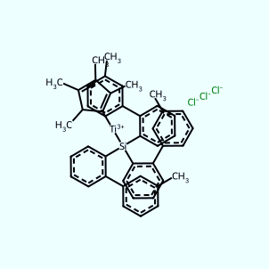 CC1=C(C)C(C)[C]([Ti+3][Si](c2ccccc2-c2cccc(C)c2)(c2ccccc2-c2cccc(C)c2)c2ccccc2-c2cccc(C)c2)=C1C.[Cl-].[Cl-].[Cl-]